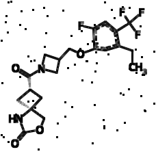 CCc1cc(OCC2CN(C(=O)[C@H]3C[C@@]4(COC(=O)N4)C3)C2)c(F)cc1C(F)(F)F